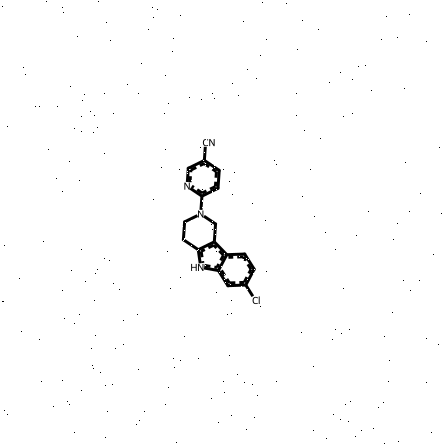 N#Cc1ccc(N2CCc3[nH]c4cc(Cl)ccc4c3C2)nc1